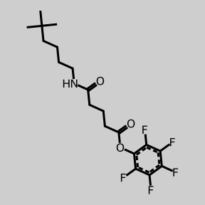 CC(C)(C)CCCCNC(=O)CCCC(=O)Oc1c(F)c(F)c(F)c(F)c1F